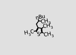 CCCCC(C)Cc1c(C)sc(C)c1C